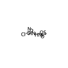 O=S(=O)(NCCCNc1ccnc2cc(Cl)ccc12)C1C=CS1